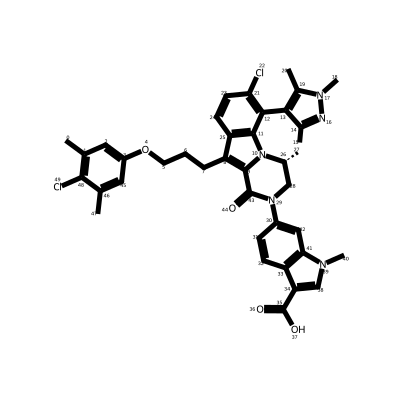 Cc1cc(OCCCc2c3n(c4c(-c5c(C)nn(C)c5C)c(Cl)ccc24)[C@H](C)CN(c2ccc4c(C(=O)O)cn(C)c4c2)C3=O)cc(C)c1Cl